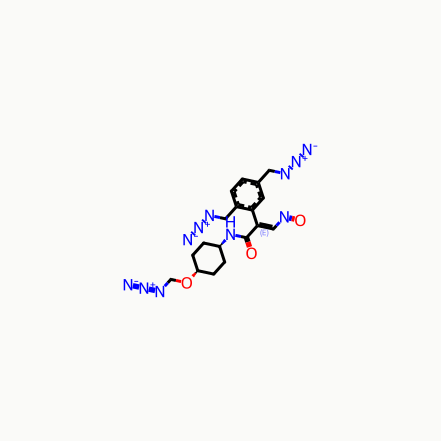 [N-]=[N+]=NCO[C@H]1CC[C@@H](NC(=O)/C(=C/N=O)c2cc(CN=[N+]=[N-])ccc2CN=[N+]=[N-])CC1